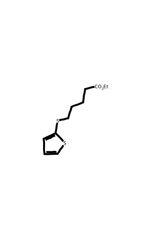 CCOC(=O)CCCCSc1cccs1